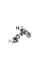 Cc1cc(CN2CCOCC2)nc(SCc2ccc(S(C)(=O)=O)cc2)n1